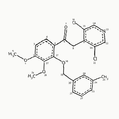 COc1ccc(C(=O)Cc2c(Cl)cncc2Cl)c(OCc2cccc(C)c2)c1OC